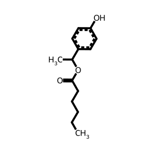 CCCCCC(=O)OC(C)c1ccc(O)cc1